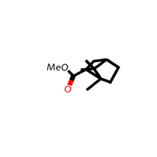 COC(=O)C1CC2CCC1(C)C2(C)C